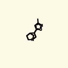 Cc1cc(C2CN3CCC2C3)on1